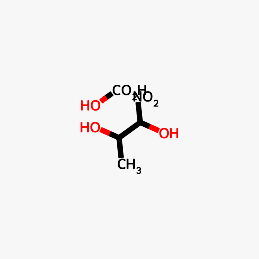 CC(O)C(O)[N+](=O)[O-].O=C(O)O